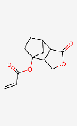 C=CC(=O)OC12CCC(C1)C1C(=O)OCC12